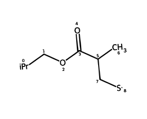 CC(C)COC(=O)C(C)C[S]